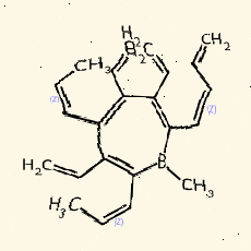 C=C/C=C\C1=C(C=C)C(C=C)=C(/C=C\C)C(C=C)=C(/C=C\C)B1C